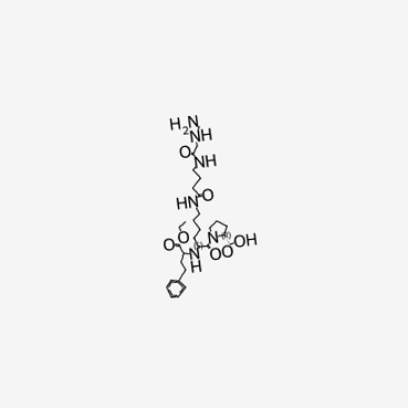 CCOC(=O)C(CCc1ccccc1)N[C@@H](CCCCNC(=O)CCCNC(=O)CNCN)C(=O)N1CCC[C@@H]1C(=O)O